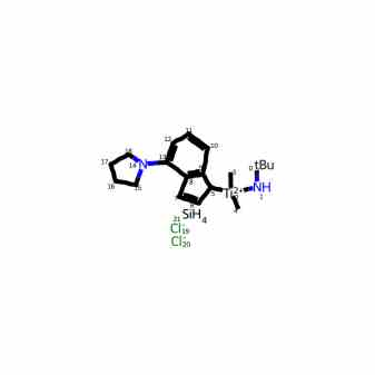 CC(C)(C)[NH][Ti+2]([CH3])([CH3])[CH]1C=Cc2c1cccc2N1CCCC1.[Cl-].[Cl-].[SiH4]